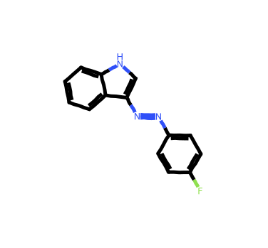 Fc1ccc(N=Nc2c[nH]c3ccccc23)cc1